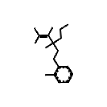 CCCC(C)(CCc1ccccc1C)C(C)=C(C)C